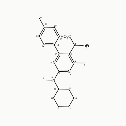 CCCC(C(=O)O)c1c(C)nc(N(C)C2CCCCC2)nc1-c1ccc(C)cc1